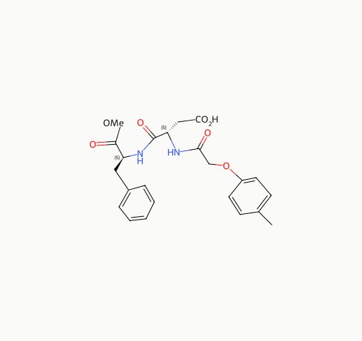 COC(=O)[C@H](Cc1ccccc1)NC(=O)[C@H](CC(=O)O)NC(=O)COc1ccc(C)cc1